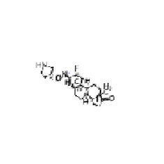 C[C@]12C[C@@H](F)/C(=N/O[C@@H]3CCNC3)CC1CC[C@@H]1[C@@H]2CC[C@]2(C)C(=O)CC[C@@H]12